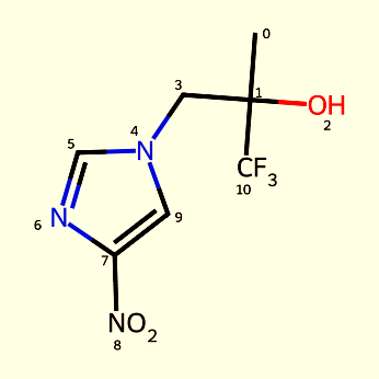 CC(O)(Cn1cnc([N+](=O)[O-])c1)C(F)(F)F